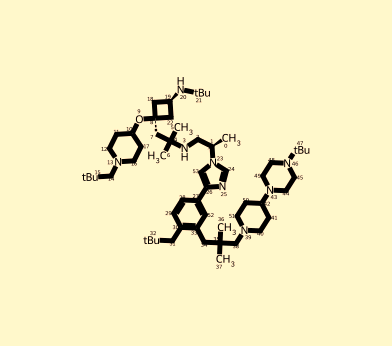 C[C@H](CNC(C)(C)C[C@]1(OC2CCN(CC(C)(C)C)CC2)C[C@@H](NC(C)(C)C)C1)n1cnc(-c2ccc(CC(C)(C)C)c(CC(C)(C)CN3CCC(N4CCN(C(C)(C)C)CC4)CC3)c2)c1